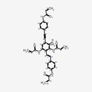 C=CC(=O)Oc1ccc(C#Cc2cc(OC(=O)C=C)c(/C=C/c3ccc(OC(=O)C=C)cc3)c(OC(=O)C=C)c2C)cc1